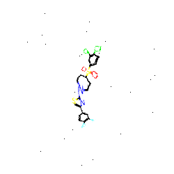 O=S(=O)(c1ccc(Cl)c(Cl)c1)C1CCN(c2nc(-c3ccc(F)c(F)c3)cs2)CC1